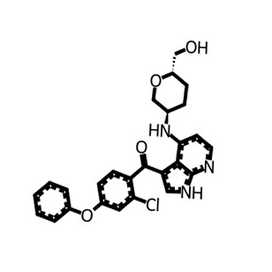 O=C(c1ccc(Oc2ccccc2)cc1Cl)c1c[nH]c2nccc(N[C@@H]3CC[C@@H](CO)OC3)c12